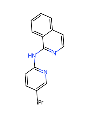 CC(C)c1ccc(Nc2nccc3ccccc23)nc1